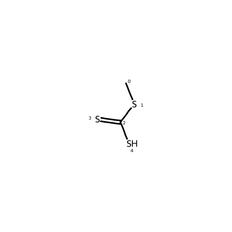 CSC(=S)S